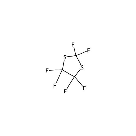 FC1(F)SC(F)(F)C(F)(F)S1